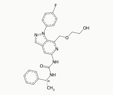 C[C@@H](NC(=O)Nc1cc2cnn(-c3ccc(F)cc3)c2c(COCCO)n1)c1ccccc1